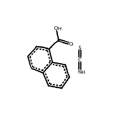 N=C=S.O=C(O)c1cccc2ccccc12